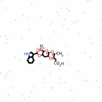 CC1O[C@@H](O[C@H](C)CCC(=O)O)[C@@H](O)C[C@H]1OC(O)c1c[nH]c2ccccc12